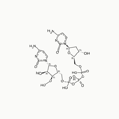 Nc1ccn([C@@H]2O[C@H](COP(=O)(O)OP(=O)(O)OP(=O)(O)OC[C@H]3O[C@@H](n4ccc(N)nc4=O)C[C@@H]3O)[C@@H](OO)[C@H]2O)c(=O)n1